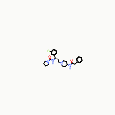 O=C(Cc1ccccc1)NC1CCN(CC[C@H](NC(=O)N2CCCC2)c2cccc(F)c2)CC1